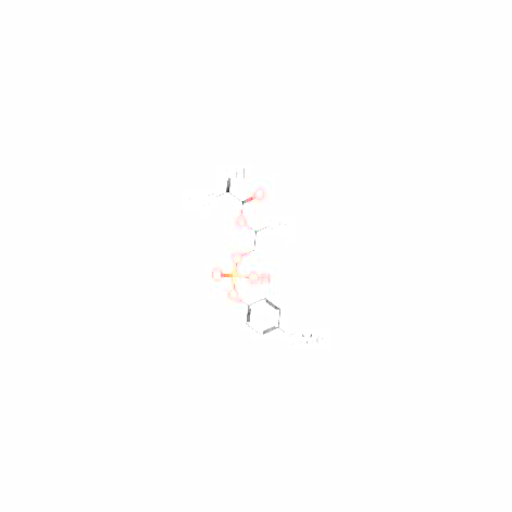 C=C(C)C(=O)OC(C)COP(=O)(O)Oc1ccc(OC)cc1